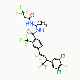 CC(NC(=O)CC(F)(F)F)NC(=O)c1ccc(/C(F)=C/C(c2cc(Cl)c(F)c(Cl)c2)C(F)(F)F)cc1C(F)(F)F